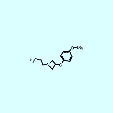 CC(C)(C)Oc1ccc(OC2CN(CCC(F)(F)F)C2)cc1